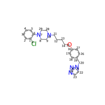 Clc1ccccc1N1CCN(CCCCOc2ccc(Cn3ccnn3)cc2)CC1